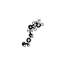 O=C1CCC(N2C(=O)c3cccc(NCc4cnn(C5CCN(C(=O)C67CC(CO6)C7)CC5)c4)c3C2=O)C(=O)N1